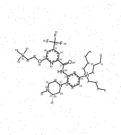 CCC[CH2][Sn]([CH2]CCC)([CH2]CCC)[c]1ccc(N2CCN(C)[C@@H](C)C2)c(NC(=O)c2cc(C(F)(F)F)cc(OCC[Si](C)(C)C)n2)c1